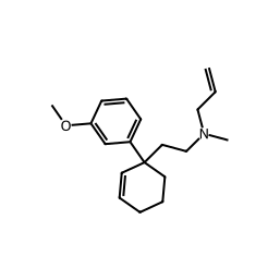 C=CCN(C)CCC1(c2cccc(OC)c2)C=CCCC1